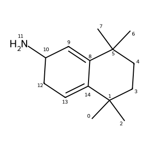 CC1(C)CCC(C)(C)C2=CC(N)CC=C21